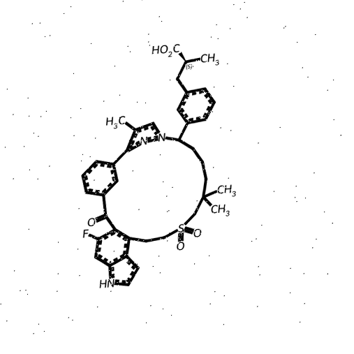 Cc1cn2nc1-c1cccc(c1)C(=O)c1c(F)cc3[nH]ccc3c1CCS(=O)(=O)CC(C)(C)CCCC2c1cccc(C[C@H](C)C(=O)O)c1